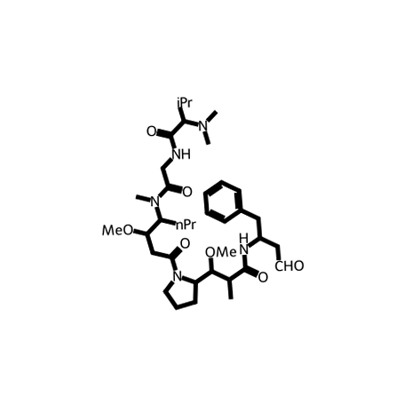 CCCC(C(CC(=O)N1CCCC1C(OC)C(C)C(=O)NC(CC=O)Cc1ccccc1)OC)N(C)C(=O)CNC(=O)C(C(C)C)N(C)C